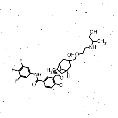 CC(CO)NCCOC[C@]1(O)CC2C(S(=O)(=O)c3cc(C(=O)Nc4cc(F)c(F)c(F)c4)ccc3Cl)[C@@H](C[C@@H]2C)C1